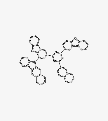 c1ccc2cc(-c3nc(-c4ccc5oc6ccccc6c5c4)nc(-c4cc(-n5c6ccccc6c6cc7ccccc7cc65)c5oc6ccccc6c5c4)n3)ccc2c1